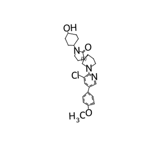 COc1ccc(-c2cnc(N3CCC[C@]4(CCN(C5CCC(O)CC5)C4=O)C3)c(Cl)c2)cc1